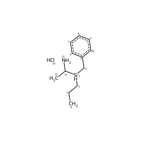 CCC[SiH](Cc1ccccc1)C(C)N.Cl